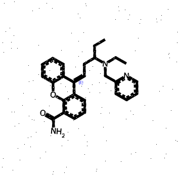 CCC(C/C=C1\c2ccccc2Oc2c(C(N)=O)cccc21)N(CC)Cc1ccccn1